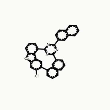 Clc1cc2oc3cccc(-c4nc(-c5ccccc5)nc(-c5ccc6ccccc6c5)n4)c3c2cc1-c1ccccc1